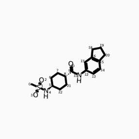 CS(=O)(=O)N[C@H]1CC[C@H](C(=O)Nc2ccc3c(c2)CCC3)CC1